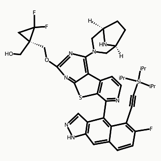 CC(C)[Si](C#Cc1c(F)ccc2cc3[nH]ncc3c(-c3nccc4c3sc3nc(OC[C@]5(CO)CC5(F)F)nc(N5C[C@H]6CC[C@@H](C5)N6)c34)c12)(C(C)C)C(C)C